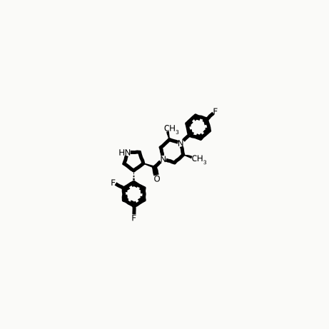 C[C@@H]1CN(C(=O)[C@@H]2CNC[C@H]2c2ccc(F)cc2F)C[C@H](C)N1c1ccc(F)cc1